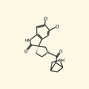 O=C(C1C2CNC1C2)N1CC[C@]2(C1)C(=O)Nc1cc(Cl)c(Cl)cc12